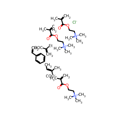 C=C(C)C(=O)OCC[N+](C)(C)C.C=C(C)C(=O)OCC[N+](C)(C)C.C=C(C)C(=O)OCC[N+](C)(C)C.C=C(CC)C(=O)[O-].C=Cc1ccccc1.CC=C(C)C(=O)[O-].[Cl-]